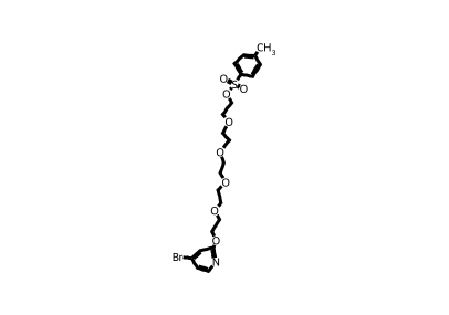 Cc1ccc(S(=O)(=O)OCCOCCOCCOCCOCCOc2cc(Br)ccn2)cc1